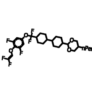 CCCCCC1COC(C2CCC(C3CCC(C(F)(F)Oc4cc(F)c(OC=C(F)F)c(F)c4)CC3)CC2)OC1